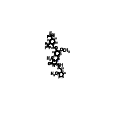 COc1cc(/C=C2/C(NCCC3CCCN3C)=NC(=O)N2C)ccc1OCc1ccc(C(F)(F)F)cc1C(F)(F)F